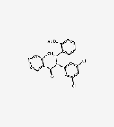 CC(=O)Oc1ccccc1CN(C(=O)c1ccncc1C)c1cc(Cl)cc(Cl)c1